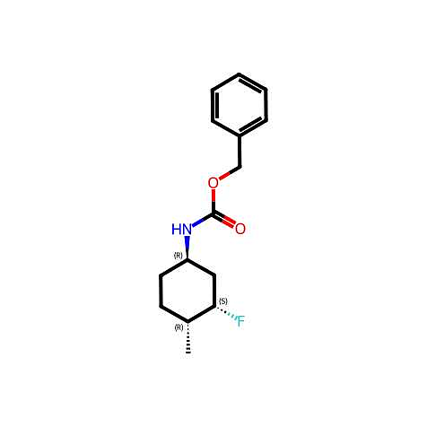 C[C@@H]1CC[C@@H](NC(=O)OCc2ccccc2)C[C@@H]1F